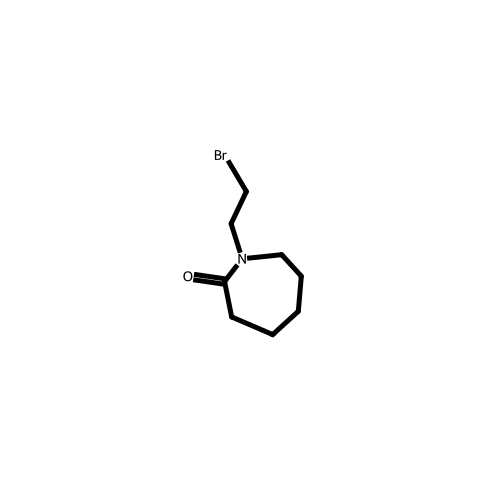 O=C1CCCCCN1CCBr